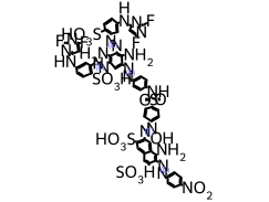 Nc1c(/N=N/c2ccc(NS(=O)(=O)c3ccc(/N=N/c4c(S(=O)(=O)O)cc5cc(S(=O)(=O)O)c(/N=N/c6ccc([N+](=O)[O-])cc6)c(N)c5c4O)cc3)cc2)cc(/N=N/c2cc(Nc3cc(F)nc(F)n3)ccc2S(=O)(=O)O)c(N)c1/N=N/c1cc(Nc2cc(F)nc(F)n2)ccc1S(=O)(=O)O